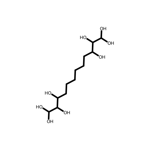 OC(O)C(O)C(O)CCCCCCC(O)C(O)C(O)O